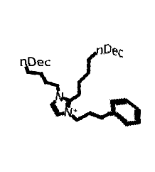 CCCCCCCCCCCCCCc1n(CCCCCCCCCCCCCC)cc[n+]1CCCc1ccccc1